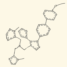 COc1ccc(-c2ccc(-n3ncc(CN(Cc4nccn4C)Cc4nccn4C)c3-c3ccco3)cc2)cc1